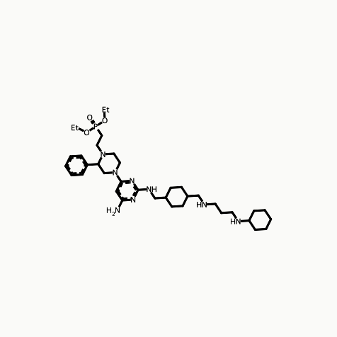 CCOP(=O)(CCN1CCN(c2cc(N)nc(NCC3CCC(CNCCCNC4CCCCC4)CC3)n2)CC1c1ccccc1)OCC